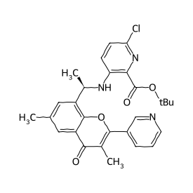 Cc1cc([C@@H](C)Nc2ccc(Cl)nc2C(=O)OC(C)(C)C)c2oc(-c3cccnc3)c(C)c(=O)c2c1